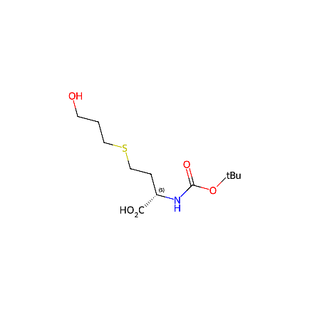 CC(C)(C)OC(=O)N[C@@H](CCSCCCO)C(=O)O